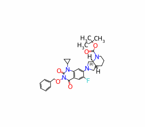 CC(C)(C)OC(=O)N1CCC[C@@H]2CN(c3cc4c(cc3F)c(=O)n(OCc3ccccc3)c(=O)n4C3CC3)C[C@@H]21